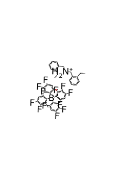 CCc1ccccc1C[NH2+]Cc1ccccc1CC.Cc1c(F)c(F)cc(F)c1[B-](c1c(F)cc(F)c(F)c1C)(c1c(F)cc(F)c(F)c1C)c1c(F)cc(F)c(F)c1C